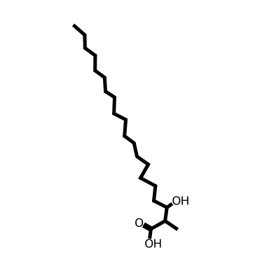 CCCCCCCCCCCCCCCCCC(O)C(C)C(=O)O